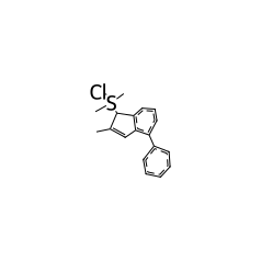 CC1=Cc2c(-c3ccccc3)cccc2C1S(C)(C)Cl